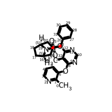 Cc1ncccc1Oc1ncnc(OC2C[C@@H]3CC[C@@H](C2)N3S(=O)(=O)Cc2ccccc2)c1C